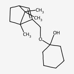 CC12CCC(C=C1COC1(O)CCCCC1)C2(C)C